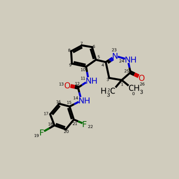 CC1(C)CC(c2ccccc2NC(=O)Nc2ccc(F)cc2F)=NNC1=O